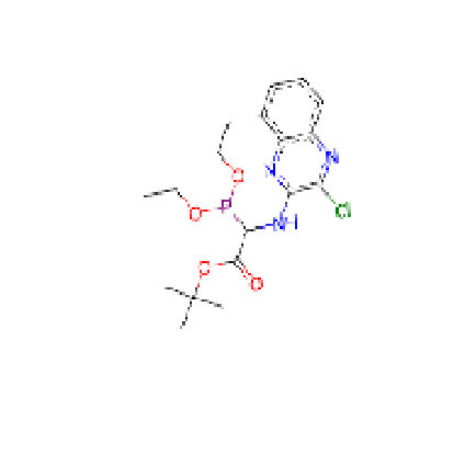 CCOP(OCC)C(Nc1nc2ccccc2nc1Cl)C(=O)OC(C)(C)C